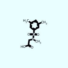 Cc1cc(C)cc(S(=O)(=O)N(C)CC(=O)O)c1